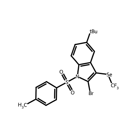 Cc1ccc(S(=O)(=O)n2c(Br)c([Se]C(F)(F)F)c3cc(C(C)(C)C)ccc32)cc1